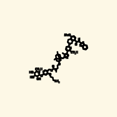 COc1ccc(C(=O)Nc2nc3ccccc3s2)c2c1CCN(c1ccc(-c3cnn(CC45CC6(C)CC(C)(C4)CC(OCCN(C)C(=O)OCc4ccc(O[C@@H]7O[C@H](C(=O)O)[C@@H](O)[C@H](O)[C@H]7O)cc4OCCCN)(C6)C5)c3C)c(C(=O)O)n1)C2